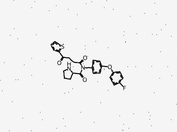 O=C(CCC(=O)N(C(=O)C1CCCN1)c1ccc(Oc2ccc(F)cc2)cc1)c1cccs1